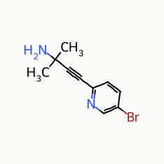 CC(C)(N)C#Cc1ccc(Br)cn1